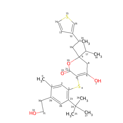 Cc1cc(SC2=C(O)CC(CCc3ccsc3)(C(C)C)OC2=O)c(C(C)(C)C)cc1CCO